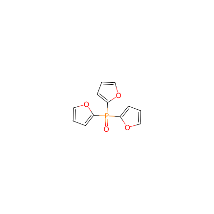 O=P(c1ccco1)(c1ccco1)c1ccco1